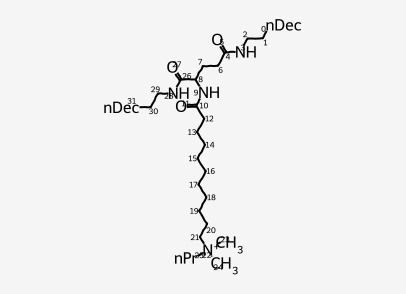 CCCCCCCCCCCCNC(=O)CCC(NC(=O)CCCCCCCCCC[N+](C)(C)CCC)C(=O)NCCCCCCCCCCCC